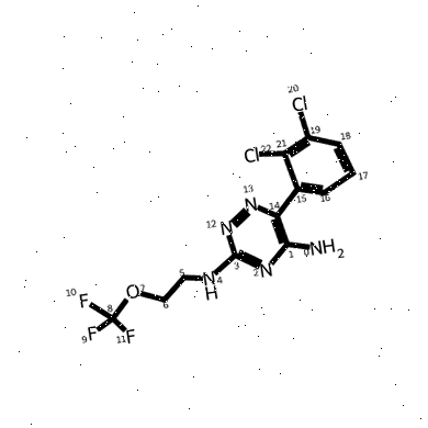 Nc1nc(NCCOC(F)(F)F)nnc1-c1cccc(Cl)c1Cl